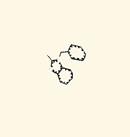 Cc1nc2ccccc2n1Cc1[c]cccc1